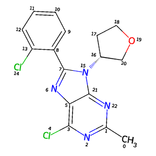 Cc1nc(Cl)c2nc(-c3ccccc3Cl)n([C@@H]3CCOC3)c2n1